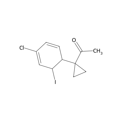 CC(=O)C1(C2C=CC(Cl)=CC2I)CC1